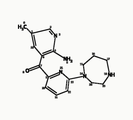 Cc1cnc(N)c(C(=O)c2cccc(N3CCCNCC3)n2)c1